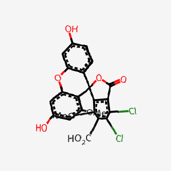 COc1cc(O)cc2c1C1(OC(=O)c3c(Cl)c(Cl)c(C(=O)O)c(OC)c31)c1ccc(O)cc1O2